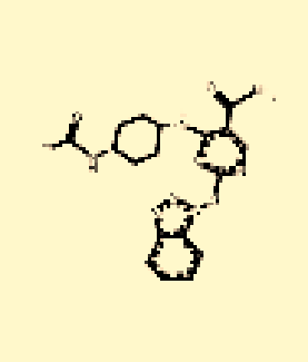 NC(=O)c1cnc(On2nnc3ccccc32)nc1N[C@H]1CC[C@H](NC(=O)O)CC1